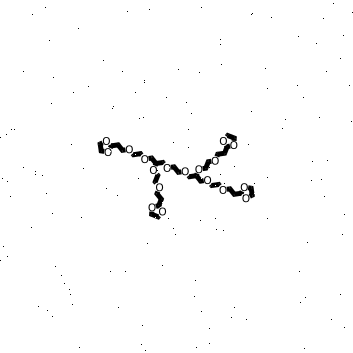 C(COCC(COCCOCC(COCCOCCC1OCCO1)OCCOCCC1OCCO1)OCCOCCC1OCCO1)OCCC1OCCO1